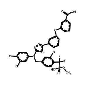 COP(=O)(O)C(F)(F)c1ccc(CN(c2ccc(Cl)c(Cl)c2)c2nnc(-c3cccc(Oc4cccc(C(=O)O)c4)c3)s2)cc1Br